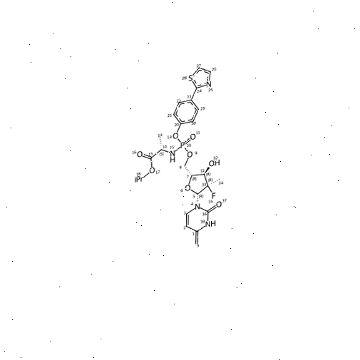 C=C1C=CN([C@@H]2O[C@H](COP(=O)(N[C@@H](C)C(=O)OC(C)C)Oc3ccc(-c4nccs4)cc3)[C@@H](O)[C@@]2(C)F)C(=O)N1